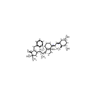 C=C1/C(=C\C=C2/CCC[C@]3(C)[C@@H]([C@H](C)CC4CC(C)(O)C(=O)N4Cc4ccccc4)CC[C@@H]23)C[C@@H](O)C[C@@H]1O